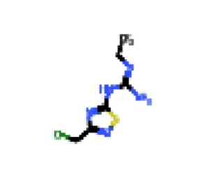 N/C(=N/CC(F)(F)F)Nc1nc(CCl)ns1